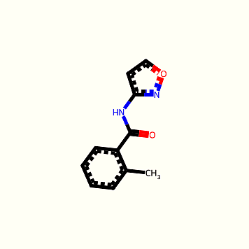 Cc1ccccc1C(=O)Nc1ccon1